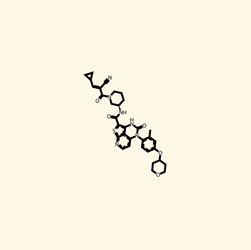 Cc1cc(OC2CCOCC2)ccc1N1C(=O)Nc2c(C(=O)N[C@@H]3CCCN(C(=O)/C(C#N)=C/C4CC4)C3)sc3nccc1c23